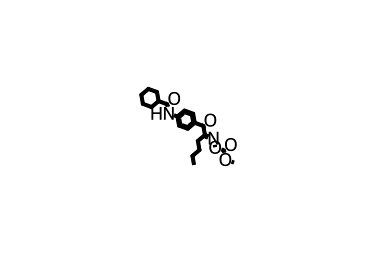 CCCC/C(=N\OC(=O)OC)C(=O)c1ccc(NC(=O)C2CCCCC2)cc1